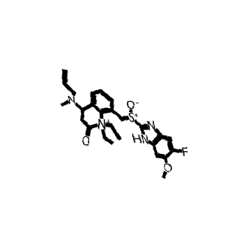 C=CCN(C)C1CC(=O)[N+](CC)(CC)c2c(C[S+]([O-])c3nc4cc(F)c(OC)cc4[nH]3)cccc21